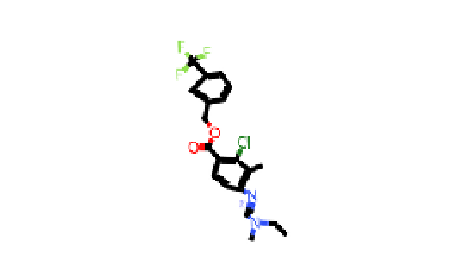 CCN(C)/C=N/c1ccc(C(=O)OCc2cccc(C(F)(F)F)c2)c(Cl)c1C